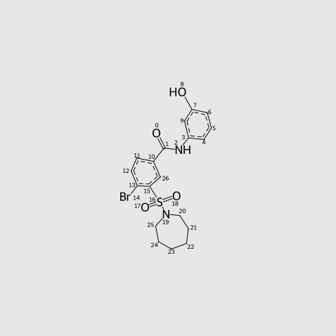 O=C(Nc1cccc(O)c1)c1ccc(Br)c(S(=O)(=O)N2CCCCCC2)c1